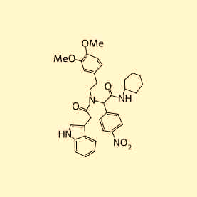 COc1ccc(CCN(C(=O)Cc2c[nH]c3ccccc23)C(C(=O)NC2CCCCC2)c2ccc([N+](=O)[O-])cc2)cc1OC